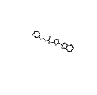 O=C(CCCc1cccnc1)Nc1ccc(-c2nc3ccccc3s2)o1